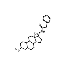 CC1CCC2C(CCC3C2CCC2(C)C(CNC(=O)Cc4ccccc4)CCC32)C1